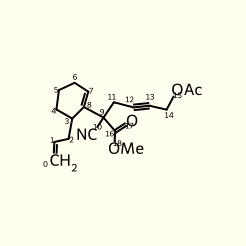 C=CCC1CCCC=C1C(C#N)(CC#CCOC(C)=O)C(=O)OC